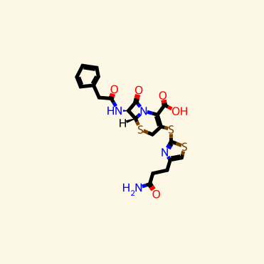 NC(=O)CCc1csc(SC2=C(C(=O)O)N3C(=O)[C@@H](NC(=O)Cc4ccccc4)[C@H]3SC2)n1